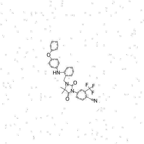 CC1(C)C(=O)N(c2ccc(C#N)c(C(F)(F)F)c2)C(=O)N1Cc1ccccc1Nc1ccc(Oc2ccccc2)cc1